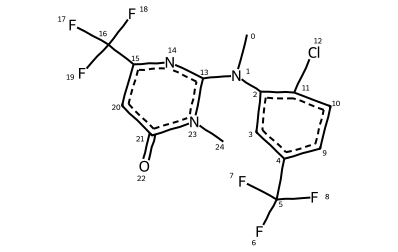 CN(c1cc(C(F)(F)F)ccc1Cl)c1nc(C(F)(F)F)cc(=O)n1C